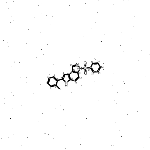 Cc1ccccc1-c1cc2c(ccc3c2cnn3S(=O)(=O)c2ccccc2)[nH]1